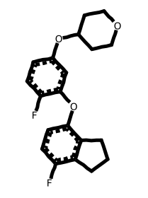 Fc1ccc(OC2CCOCC2)cc1Oc1ccc(F)c2c1CCC2